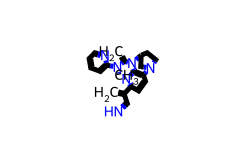 C=C(C=N)c1ccc2c(n1)N(C(=C)N(C)c1ccccn1)C1CCN2C1